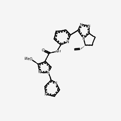 C=C[C@H]1CCc2nnc(-c3cccc(NC(=O)c4cn(-c5cnccn5)nc4OC)n3)n21